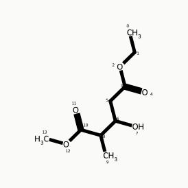 CCOC(=O)CC(O)C(C)C(=O)OC